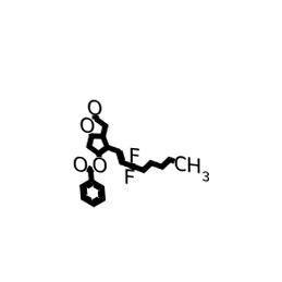 CCCCCC(F)(F)C=CC1C(OC(=O)c2ccccc2)CC2OC(=O)CC21